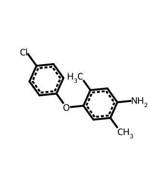 Cc1cc(Oc2ccc(Cl)cc2)c(C)cc1N